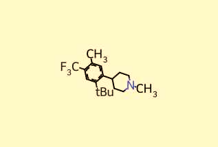 Cc1cc(C2CCN(C)CC2)c(C(C)(C)C)cc1C(F)(F)F